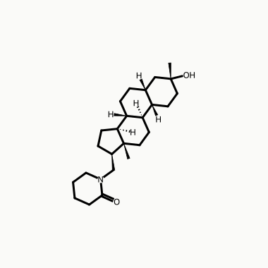 C[C@@]1(O)CC[C@H]2[C@H](CC[C@@H]3[C@@H]2CC[C@]2(C)[C@@H](CN4CCCCC4=O)CC[C@@H]32)C1